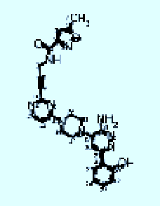 Cc1cc(C(=O)NCC#Cc2nccc(N3CCN(c4cc(-c5ccccc5O)nnc4N)CC3)n2)no1